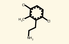 Cc1c(Cl)ccc(Cl)c1CCN